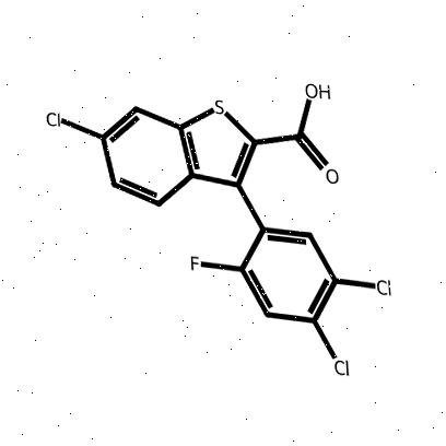 O=C(O)c1sc2cc(Cl)ccc2c1-c1cc(Cl)c(Cl)cc1F